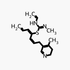 C=C/C=C(\C=C/CC1=C(C)CCN=C1)S/C(=N\C)NC=C